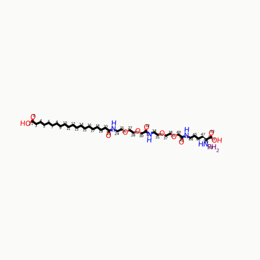 O=C(O)CCCCCCCCCCCCCCCCCCC(=O)NCCOCCOCC(=O)NCCOCCOCC(=O)NCCCC[C@H](NP)C(=O)O